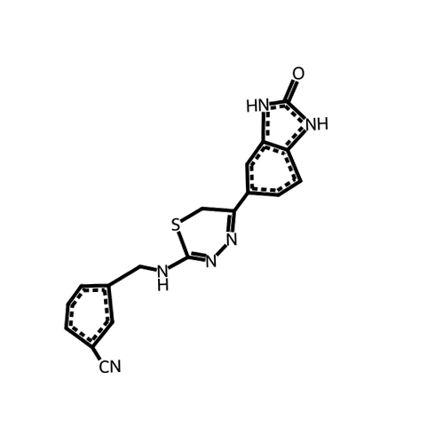 N#Cc1cccc(CNC2=NN=C(c3ccc4[nH]c(=O)[nH]c4c3)CS2)c1